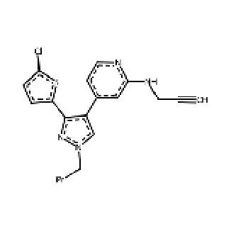 C#CCNc1cc(-c2cn(CC(C)C)nc2-c2ccc(Cl)s2)ccn1